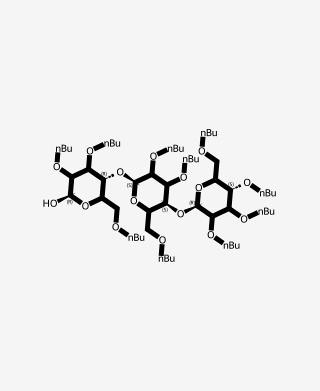 CCCCOCC1O[C@@H](O)C(OCCCC)C(OCCCC)[C@@H]1O[C@@H]1OC(COCCCC)[C@H](O[C@H]2OC(COCCCC)[C@H](OCCCC)C(OCCCC)C2OCCCC)C(OCCCC)C1OCCCC